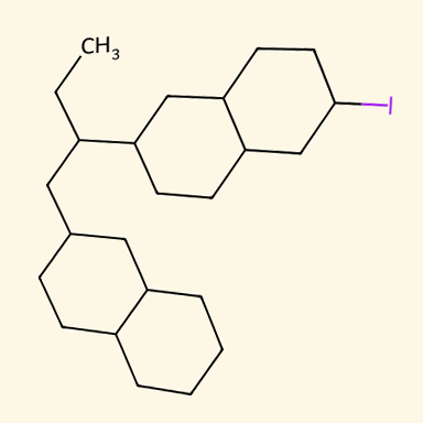 CCC(CC1CCC2CCCCC2C1)C1CCC2CC(I)CCC2C1